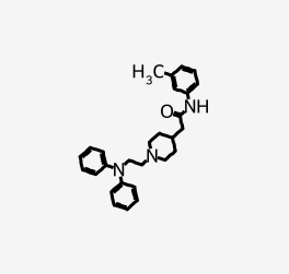 Cc1cccc(NC(=O)CC2CCN(CCN(c3ccccc3)c3ccccc3)CC2)c1